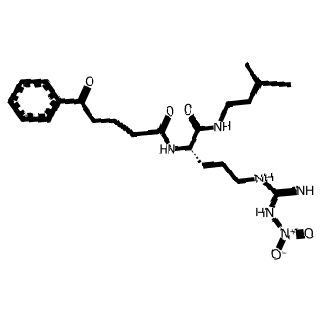 CC(C)CCNC(=O)[C@H](CCCNC(=N)N[N+](=O)[O-])NC(=O)CCCC(=O)c1ccccc1